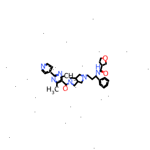 Cc1nc(-c2ccncc2)nc(C)c1C(=O)N1CC2CN(CCC(NC(=O)C3CCOC3)c3ccccc3)CC2C1